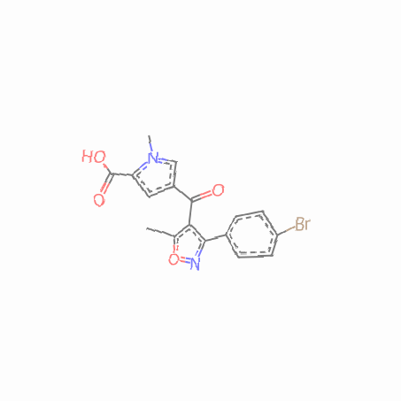 Cc1onc(-c2ccc(Br)cc2)c1C(=O)c1cc(C(=O)O)n(C)c1